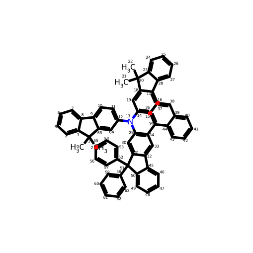 CC1(C)c2ccccc2-c2ccc(N(c3ccc4c(c3)C(C)(C)c3ccccc3-4)c3cc4c(cc3-c3cccc5ccccc35)-c3ccccc3C4(c3ccccc3)c3ccccc3)cc21